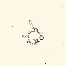 CC1CCNC(=O)c2ccc(c(N)c2)-c2ccnc(n2)Nc2ccc(OCC3CCOC3)c(c2)COC1